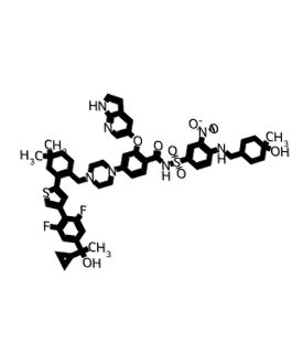 CC1(C)CCC(CN2CCN(c3ccc(C(=O)NS(=O)(=O)c4ccc(NCC5CCC(C)(O)CC5)c([N+](=O)[O-])c4)c(Oc4cnc5[nH]ccc5c4)c3)CC2)=C(c2cc(-c3c(F)cc(C(C)(O)C4CC4)cc3F)cs2)C1